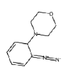 [N-]=[N+]=C1C=CC=CC1N1CCOCC1